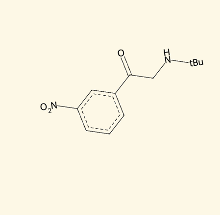 CC(C)(C)NCC(=O)c1cccc([N+](=O)[O-])c1